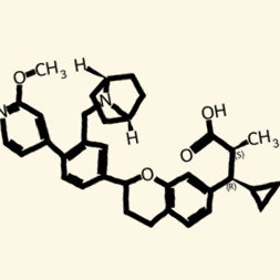 COc1cc(-c2ccc(C3CCc4ccc([C@H](C5CC5)[C@H](C)C(=O)O)cc4O3)cc2CN2[C@H]3CC[C@@H]2CC3)ccn1